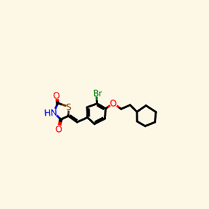 O=C1NC(=O)C(=Cc2ccc(OCCC3CCCCC3)c(Br)c2)S1